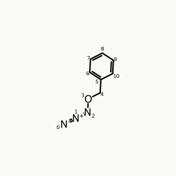 [N-]=[N+]=NOCc1ccccc1